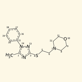 Cc1nc(SCCN2CCOCC2)nn1-c1ccccc1